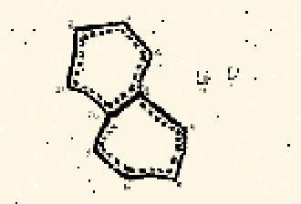 [Li].[Li].c1ccc2ccccc2c1